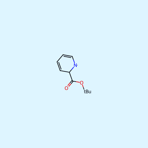 CC(C)(C)OC(=O)C1C=CC=C[N]1